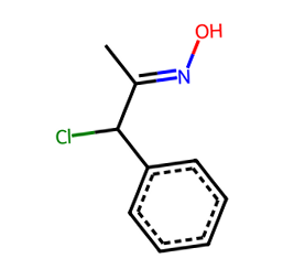 CC(=NO)C(Cl)c1ccccc1